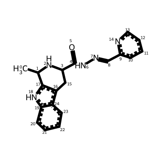 CC1NC(C(=O)N/N=C/c2ccccn2)Cc2c1[nH]c1ccccc21